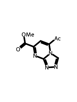 COC(=O)c1cc(C(C)=O)n2cnnc2n1